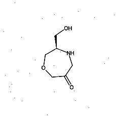 O=C1CN[C@H](CO)COC1